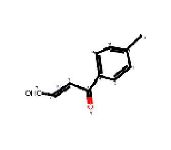 Cc1ccc(C(=O)/C=C/C=O)cc1